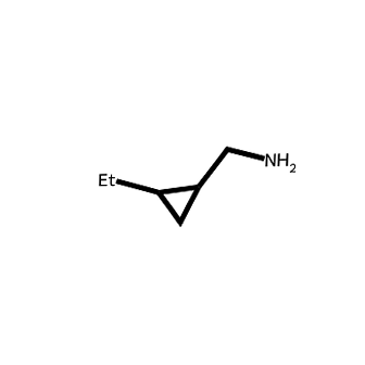 CCC1CC1CN